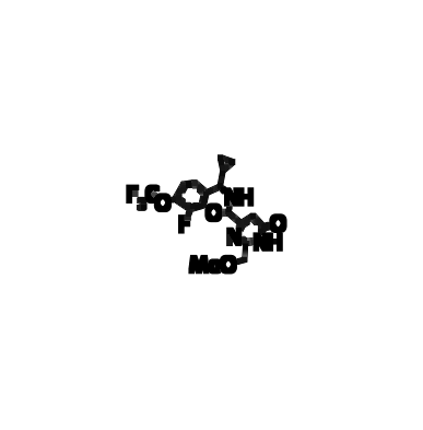 COCc1nc(C(=O)N[C@@H](c2ccc(OC(F)(F)F)c(F)c2)C2CC2)cc(=O)[nH]1